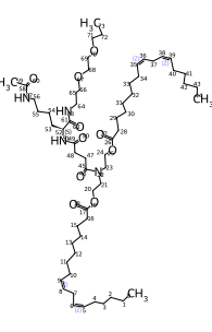 CCCCC/C=C\C/C=C\CCCCCCCC(=O)OCCN(CCOC(=O)CCCCCCC/C=C\C/C=C\CCCCC)C(=O)CCC(=O)N[C@@H](CCCCNC(C)=O)C(=O)NCCCOCCOCCC